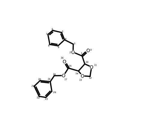 O=C(OCc1ccccc1)C1OCOC1C(=O)OCc1ccccc1